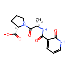 C[C@H](NC(=O)c1ccc[nH]c1=O)C(=O)N1CCC[C@H]1C(=O)O